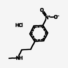 CNCCc1ccc([N+](=O)[O-])cc1.Cl